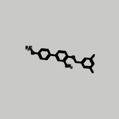 Cc1cc(C)cc(COc2ccc(-c3ccc(OC(F)(F)F)cc3)cc2N)c1